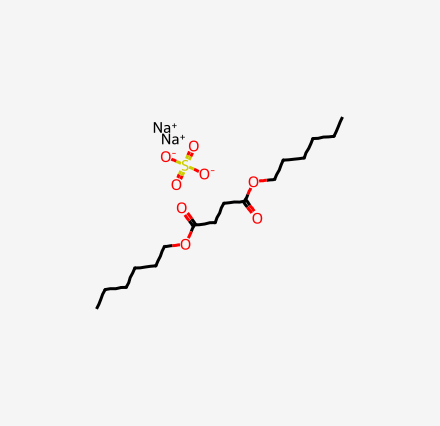 CCCCCCOC(=O)CCC(=O)OCCCCCC.O=S(=O)([O-])[O-].[Na+].[Na+]